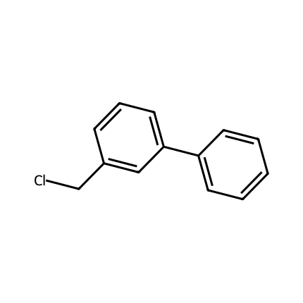 ClCc1cccc(-c2ccccc2)c1